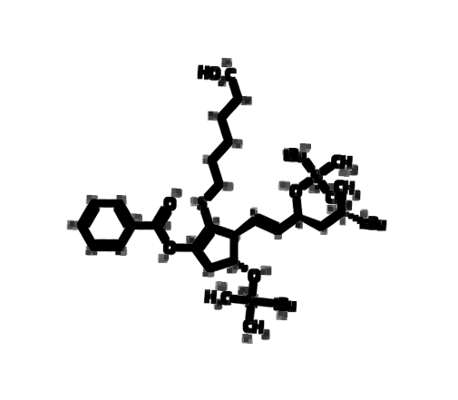 CCCC[C@@H](C)C[C@@H](C=C[C@@H]1C(SCCCCCC(=O)O)=C(OC(=O)c2ccccc2)C[C@H]1O[Si](C)(C)C(C)(C)C)O[Si](C)(C)C(C)(C)C